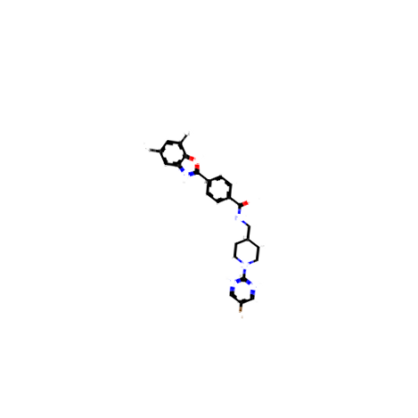 [C-]#[N+]c1cc(C(C)C)c2oc(-c3ccc(C(=O)NCC4CCN(c5ncc(Br)cn5)CC4)cc3)nc2c1